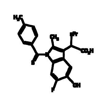 CCCC(C(=O)O)c1c(C)n(C(=S)c2ccc(C)cc2)c2cc(F)c(O)cc12